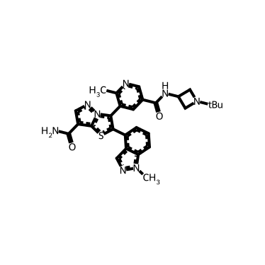 Cc1ncc(C(=O)NC2CN(C(C)(C)C)C2)cc1-c1c(-c2cccc3c2cnn3C)sc2c(C(N)=O)cnn12